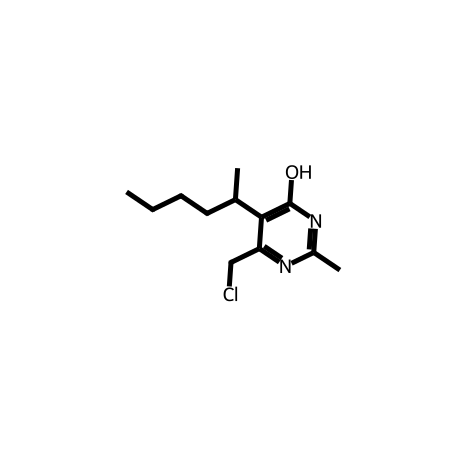 CCCCC(C)c1c(O)nc(C)nc1CCl